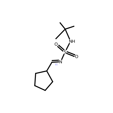 CC(C)(C)NS(=O)(=O)/N=C/C1CCCC1